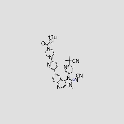 Cn1/c(=N/C#N)n(-c2ccc(C(C)(C)C#N)nc2)c2c3cc(-c4ccc(N5CCN(C(=O)OC(C)(C)C)CC5)nc4)ccc3ncc21